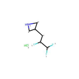 Cl.FC(F)C(F)CC1CNC1